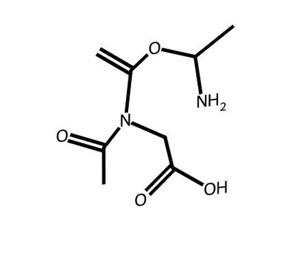 C=C(OC(C)N)N(CC(=O)O)C(C)=O